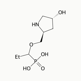 CCC(OC[C@@H]1C[C@@H](O)CN1)P(=O)(O)O